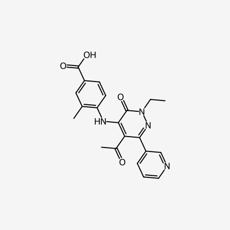 CCn1nc(-c2cccnc2)c(C(C)=O)c(Nc2ccc(C(=O)O)cc2C)c1=O